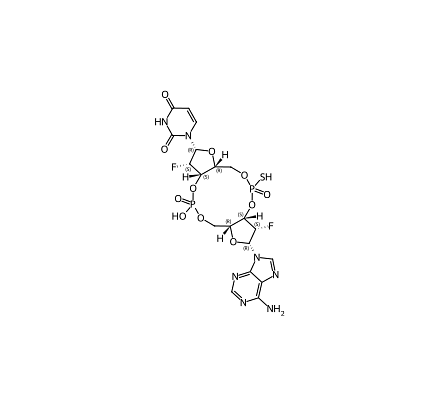 Nc1ncnc2c1ncn2[C@@H]1O[C@@H]2COP(=O)(O)O[C@@H]3[C@H](F)[C@H](n4ccc(=O)[nH]c4=O)O[C@@H]3COP(=O)(S)O[C@@H]2[C@@H]1F